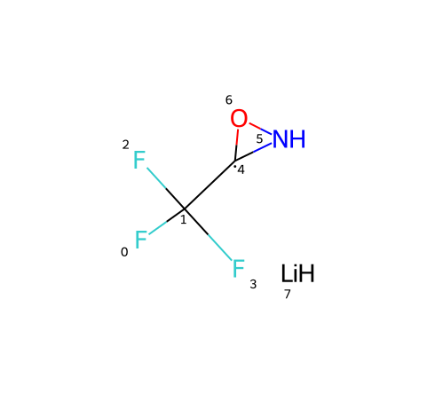 FC(F)(F)[C]1NO1.[LiH]